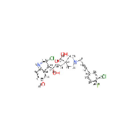 COc1ccc2ncc(Cl)c(C(O)CCC3(C(=O)O)CCN(CC#Cc4ccc(F)c(Cl)c4)CC3)c2c1